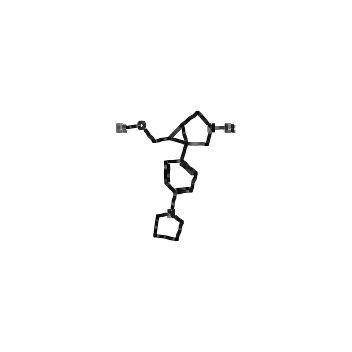 CCOCC1C2CN(CC)CC12c1ccc(N2CCCC2)cc1